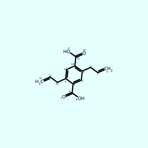 C=CCc1cc(C(=O)O)c(CC=C)cc1C(=O)O